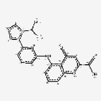 CC(C)n1cnnc1-c1cccc(Nc2cccc3oc(C(=O)O)cc(=O)c23)n1